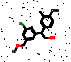 CCOCc1cc(Br)cc(C(CO)c2ccc(OC)c(C)c2)c1